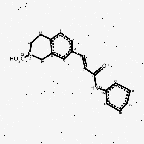 O=C(C=Cc1ccc2c(c1)CN(C(=O)O)CC2)Nc1ccccc1